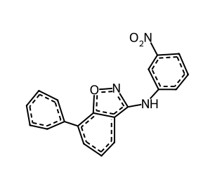 O=[N+]([O-])c1cccc(Nc2noc3c(-c4ccccc4)cccc23)c1